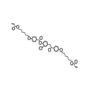 C=CC(=O)OCCCCCCOc1ccc(C(=O)Cc2ccc(OC(=O)c3ccc(OCCCCCCOC(=O)C=C)cc3)c(Cl)c2)cc1